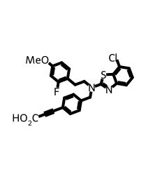 COc1ccc(CCN(Cc2ccc(C#CC(=O)O)cc2)c2nc3cccc(Cl)c3s2)c(F)c1